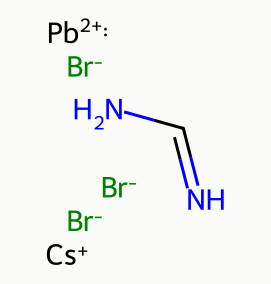 N=CN.[Br-].[Br-].[Br-].[Cs+].[Pb+2]